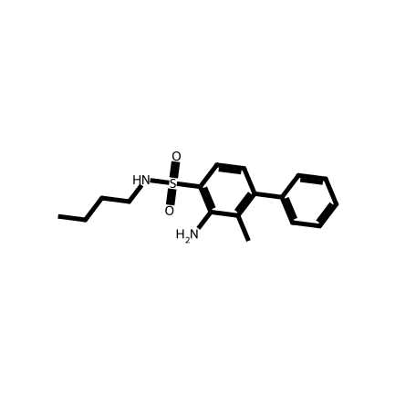 CCCCNS(=O)(=O)c1ccc(-c2ccccc2)c(C)c1N